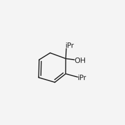 CC(C)C1=CC=CCC1(O)C(C)C